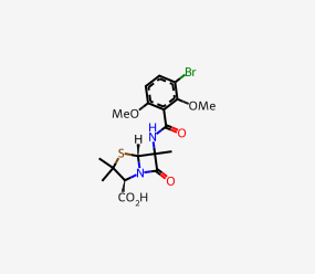 COc1ccc(Br)c(OC)c1C(=O)NC1(C)C(=O)N2[C@@H](C(=O)O)C(C)(C)S[C@@H]21